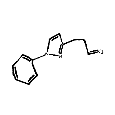 O=CCc1ccn(-c2ccccc2)n1